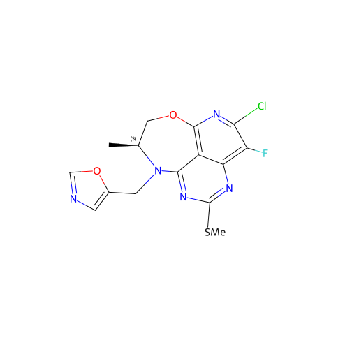 CSc1nc2c3c(nc(Cl)c(F)c3n1)OC[C@H](C)N2Cc1cnco1